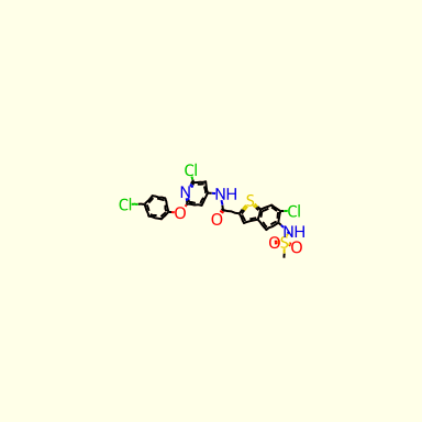 CS(=O)(=O)Nc1cc2cc(C(=O)Nc3cc(Cl)nc(Oc4ccc(Cl)cc4)c3)sc2cc1Cl